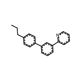 CCCc1ccc(-c2cccc(-c3ccccn3)c2)cc1